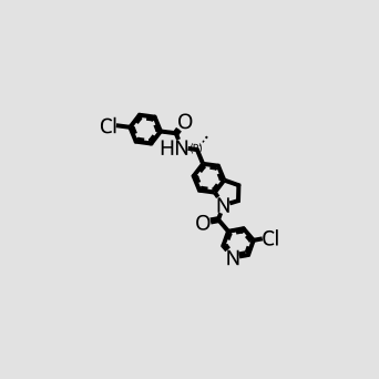 C[C@@H](NC(=O)c1ccc(Cl)cc1)c1ccc2c(c1)CCN2C(=O)c1cncc(Cl)c1